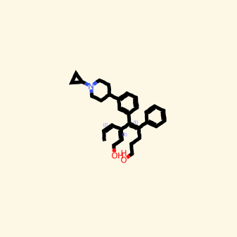 C\C=C/C(=C\CO)C(=C(\CCCO)c1ccccc1)/c1cccc(C2CCN(C3CC3)CC2)c1